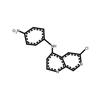 O=[N+]([O-])c1ccc(Nc2ccnc3cnc(Cl)cc23)cc1